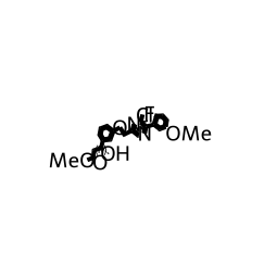 COC(=O)C[C@@H](O)c1cccc(OCc2cnc(-c3cc(OC)ccc3F)c(Cl)n2)c1